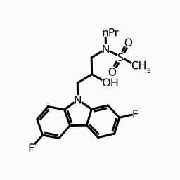 CCCN(CC(O)Cn1c2ccc(F)cc2c2ccc(F)cc21)S(C)(=O)=O